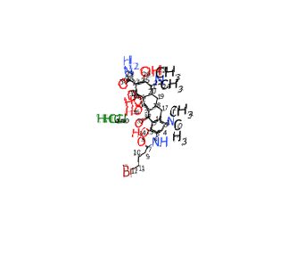 CN(C)c1cc(NC(=O)CCCBr)c(O)c2c1CC1CC3[C@H](N(C)C)C(O)=C(C(N)=O)C(=O)C3(O)C(O)=C1C2=O.Cl.Cl